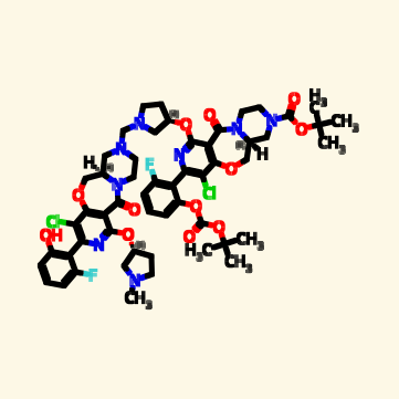 CN1CC[C@@H](Oc2nc(-c3c(O)cccc3F)c(Cl)c3c2C(=O)N2CCN(CN4CC[C@@H](Oc5nc(-c6c(F)cccc6OC(=O)OC(C)(C)C)c(Cl)c6c5C(=O)N5CCN(C(=O)OC(C)(C)C)C[C@@H]5CO6)C4)C[C@@H]2CO3)C1